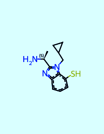 C[C@H](N)c1nc2cccc(S)c2n1CC1CC1